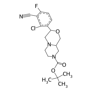 CC(C)(C)OC(=O)N1CCN2CC(c3ccc(F)c(C#N)c3Cl)OCC2C1